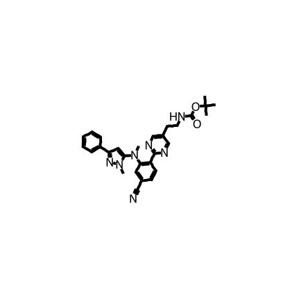 CN(c1cc(C#N)ccc1-c1ncc(CCNC(=O)OC(C)(C)C)cn1)c1cc(-c2ccccc2)nn1C